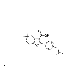 CN(C)Cc1ccc(-c2sc3c(c2C(=O)O)CC(C)(C)CC3)cn1